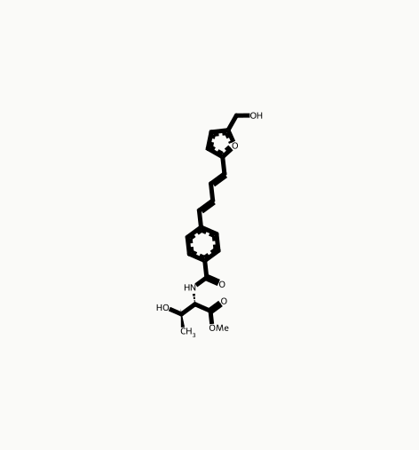 COC(=O)[C@@H](NC(=O)c1ccc(/C=C/C=C/c2ccc(CO)o2)cc1)[C@@H](C)O